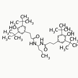 CCCC(NC(=O)CCc1cc(C(C)(C)C)c(O)c(C(C)(C)C)c1)NC(=O)CCc1cc(C(C)(C)C)c(O)c(C(C)(C)C)c1